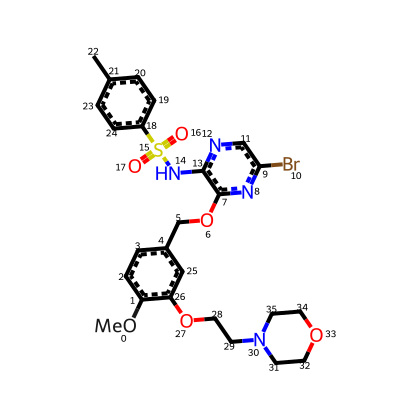 COc1ccc(COc2nc(Br)cnc2NS(=O)(=O)c2ccc(C)cc2)cc1OCCN1CCOCC1